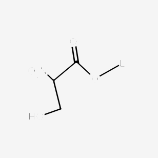 CCOC(=O)C(CO)[N+](=O)[O-]